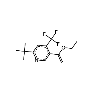 C=C(OCC)c1cnc(C(C)(C)C)cc1C(F)(F)F